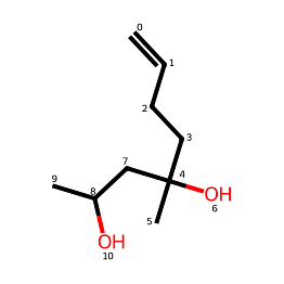 C=CCCC(C)(O)CC(C)O